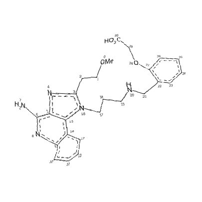 COCCc1nc2c(N)nc3ccccc3c2n1CCCNCc1ccccc1OCC(=O)O